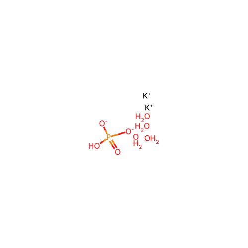 O.O.O.O.O=P([O-])([O-])O.[K+].[K+]